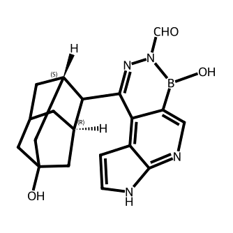 O=CN1N=C(C2[C@@H]3CC4C[C@H]2CC(O)(C4)C3)c2c(cnc3[nH]ccc23)B1O